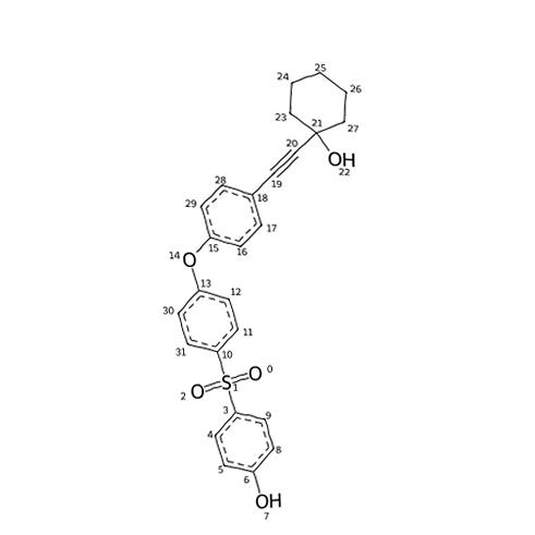 O=S(=O)(c1ccc(O)cc1)c1ccc(Oc2ccc(C#CC3(O)CCCCC3)cc2)cc1